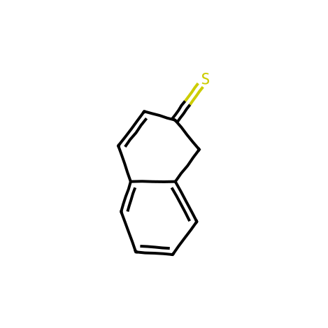 S=C1C=Cc2ccccc2C1